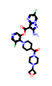 Nc1nn2cc(F)cnc2c1C(=O)Oc1cncc(F)c1N1CCC(C(=O)N2CCN(C3COC3)CC2)CC1